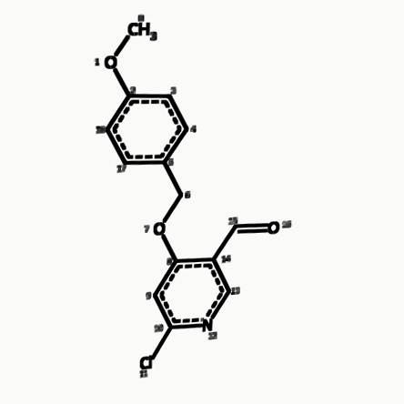 COc1ccc(COc2cc(Cl)ncc2C=O)cc1